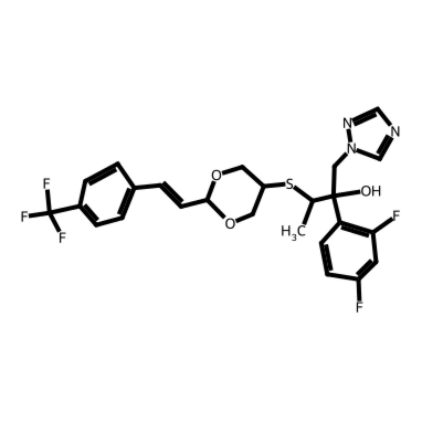 CC(SC1COC(C=Cc2ccc(C(F)(F)F)cc2)OC1)C(O)(Cn1cncn1)c1ccc(F)cc1F